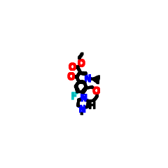 CCOC(=O)c1cn(C2CC2)c2c3c(c(F)cc2c1=O)N1CCN(C)C[C@H]1CCOC3